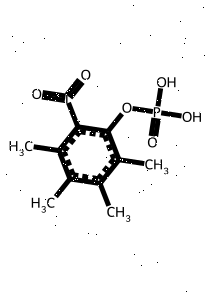 Cc1c(C)c(C)c(I(=O)=O)c(OP(=O)(O)O)c1C